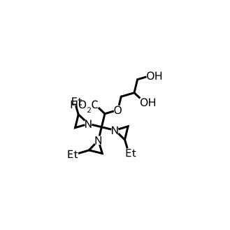 CCC1CN1C(C(OCC(O)CO)C(=O)O)(N1CC1CC)N1CC1CC